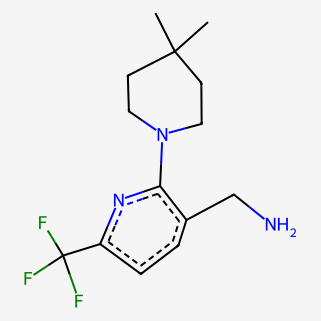 CC1(C)CCN(c2nc(C(F)(F)F)ccc2CN)CC1